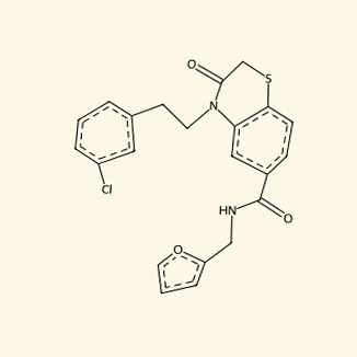 O=C(NCc1ccco1)c1ccc2c(c1)N(CCc1cccc(Cl)c1)C(=O)CS2